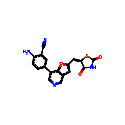 N#Cc1cc(-c2cncc3cc(C=C4SC(=O)NC4=O)oc23)ccc1N